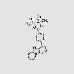 CC1(C)OB(c2cnc(-c3cccc4c3oc3ccccc34)nc2)OC1(C)C